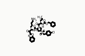 C=CC[C@@H](NC(=O)OCc1ccccc1)C(=O)N1C[C@H](S(=O)(=O)Cc2ccc(Cl)cc2)C[C@H]1C(=O)N[C@@H](CCCCN)C(=O)c1nc2ccccc2o1